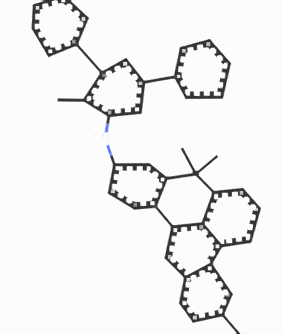 Cc1ccc2cc3c4c(cccc4c2c1)C(C)(C)c1cc(Nc2cc(-c4ccccc4)cc(-c4ccccc4)c2C)ccc1-3